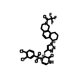 O=C1NC=CN(S(=O)(=O)c2ccc(Cl)c(Cl)c2)[C@@H]1Cc1cn([C@@H]2CCCc3c2ccc2c3CN(C(=O)C(F)(F)F)CC2)nn1